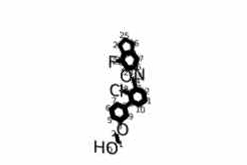 OCCOc1cccc(-c2cccc(-c3nc4cc5c(c(F)c4o3)CCC5)c2Cl)c1